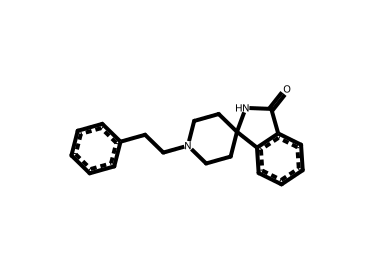 O=C1NC2(CCN(CCc3ccccc3)CC2)c2ccccc21